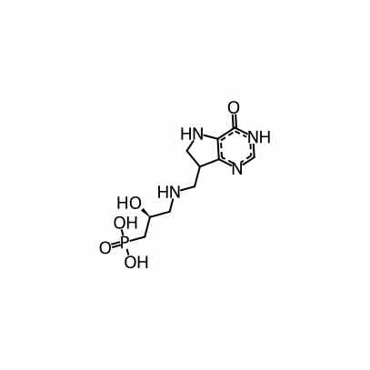 O=c1[nH]cnc2c1NCC2CNC[C@H](O)CP(=O)(O)O